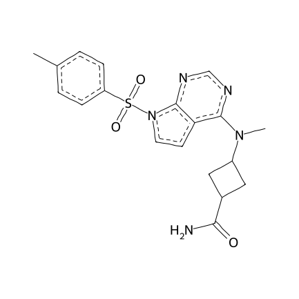 Cc1ccc(S(=O)(=O)n2ccc3c(N(C)C4CC(C(N)=O)C4)ncnc32)cc1